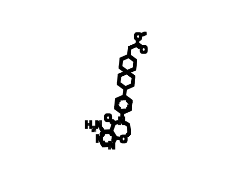 COC(=O)CC1CCC2(CC1)CCC(c1ccc(N3CCOc4ncnc(N)c4C3=O)cc1)CC2